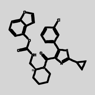 O=C(NC[C@@H]1CCCCN1C(=O)c1nc(C2CC2)sc1-c1cccc(Cl)c1)Oc1cccc2occc12